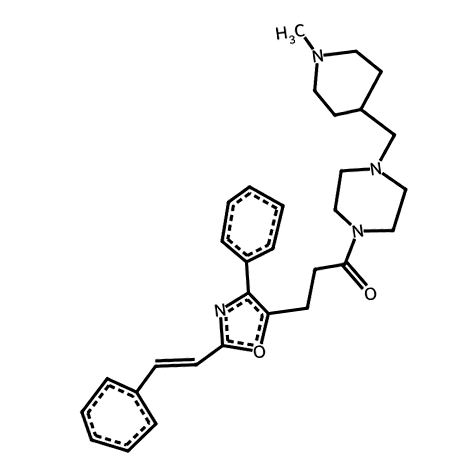 CN1CCC(CN2CCN(C(=O)CCc3oc(/C=C/c4ccccc4)nc3-c3ccccc3)CC2)CC1